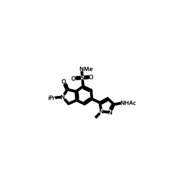 CNS(=O)(=O)c1cc(-c2cc(NC(C)=O)nn2C)cc2c1C(=O)N(C(C)C)C2